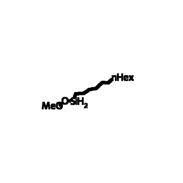 CCCCCCCCCCCC[SiH2]OOC